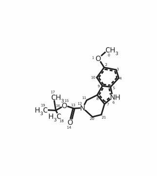 COc1ccc2[nH]c3c(c2c1)CN(C(=O)OC(C)(C)C)CC3